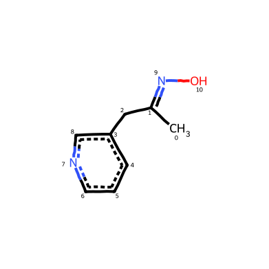 C/C(Cc1cccnc1)=N\O